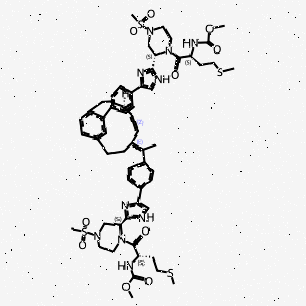 COC(=O)N[C@@H](CCSC)C(=O)N1CCN(S(C)(=O)=O)C[C@H]1c1nc(-c2ccc(/C(C)=C3/C=C\[C@H](C)CCc4ccc(cc4-c4ccc(-c5c[nH]c([C@@H]6CN(S(C)(=O)=O)CCN6C(=O)[C@H](CCSC)NC(=O)OC)n5)cc4)CC3)cc2)c[nH]1